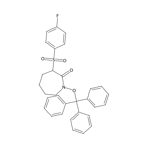 O=C1C(S(=O)(=O)c2ccc(F)cc2)CCCCN1OC(c1ccccc1)(c1ccccc1)c1ccccc1